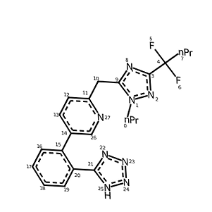 CCCn1nc(C(F)(F)CCC)nc1Cc1ccc(-c2ccccc2-c2nnn[nH]2)cn1